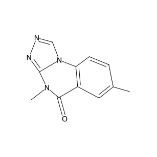 Cc1ccc2c(c1)c(=O)n(C)c1nncn21